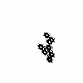 c1ccc(-c2cccc3cc(-c4ccc(N(c5cccc6c5sc5ccccc56)c5cccc6c5sc5ccccc56)cc4)ccc23)cc1